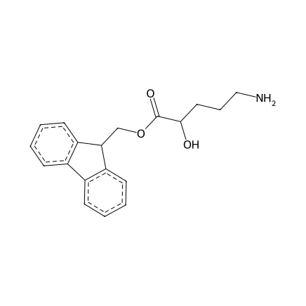 NCCCC(O)C(=O)OCC1c2ccccc2-c2ccccc21